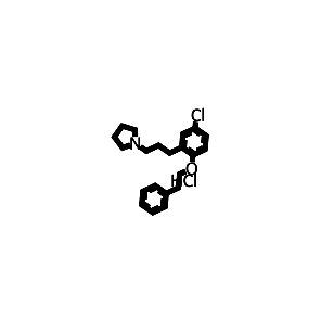 Cl.Clc1ccc(OCCc2ccccc2)c(CCCN2CCCC2)c1